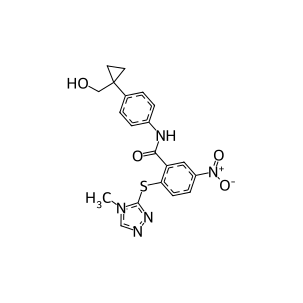 Cn1cnnc1Sc1ccc([N+](=O)[O-])cc1C(=O)Nc1ccc(C2(CO)CC2)cc1